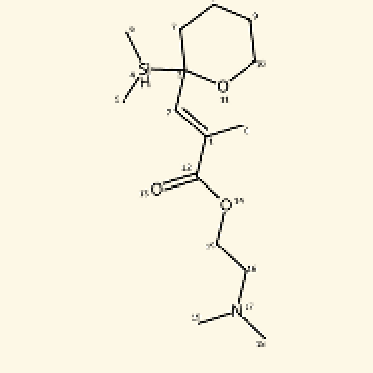 CC(=CC1([SiH](C)C)CCCCO1)C(=O)OCCN(C)C